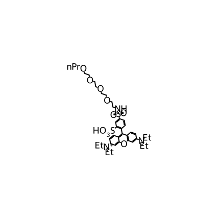 CCCOCCOCCOCCOCCNS(=O)(=O)c1ccc(-c2c3ccc(=[N+](CC)CC)cc-3oc3cc(N(CC)CC)ccc23)c(S(=O)(=O)O)c1